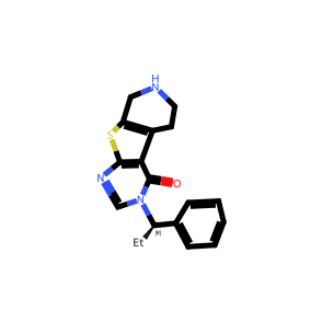 CC[C@H](c1ccccc1)n1cnc2sc3c(c2c1=O)CCNC3